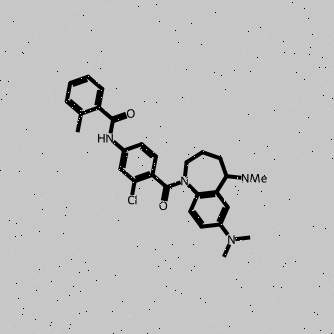 CNC1CCCN(C(=O)c2ccc(NC(=O)c3ccccc3C)cc2Cl)c2ccc(N(C)C)cc21